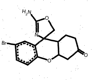 NC1=NC2(CO1)c1cc(Br)ccc1OC1CC(=O)CCC12